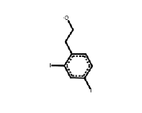 [O]CCc1ccc(I)cc1I